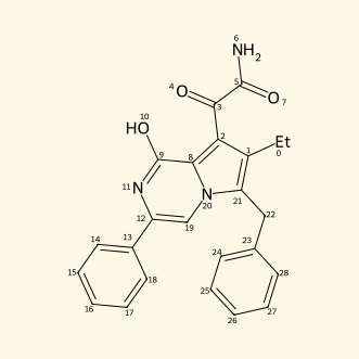 CCc1c(C(=O)C(N)=O)c2c(O)nc(-c3ccccc3)cn2c1Cc1ccccc1